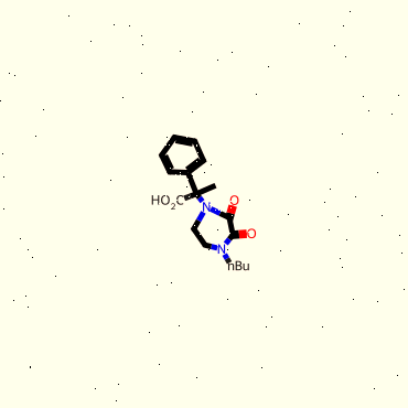 CCCCN1CCN(C(C)(C(=O)O)c2ccccc2)C(=O)C1=O